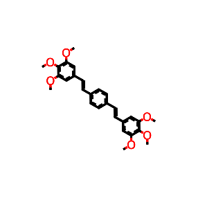 COc1cc(/C=C/c2ccc(/C=C/c3cc(OC)c(OC)c(OC)c3)cc2)cc(OC)c1OC